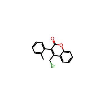 Cc1ccccc1-c1c(CBr)c2ccccc2oc1=O